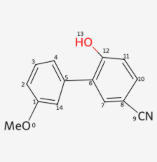 COc1cccc(-c2cc(C#N)ccc2O)c1